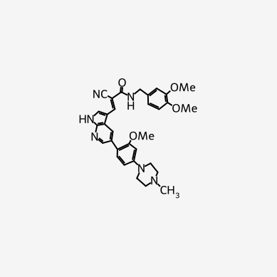 COc1ccc(CNC(=O)/C(C#N)=C/c2c[nH]c3ncc(-c4ccc(N5CCN(C)CC5)cc4OC)cc23)cc1OC